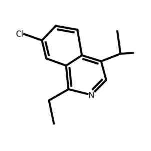 CCc1ncc(C(C)C)c2ccc(Cl)cc12